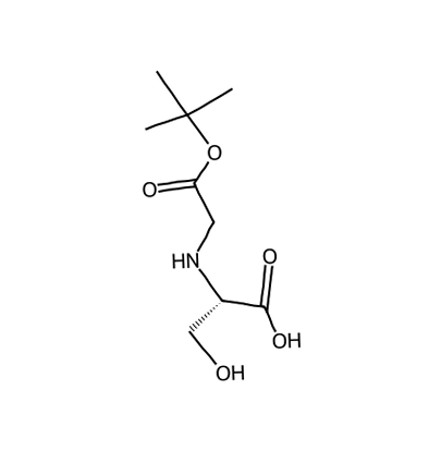 CC(C)(C)OC(=O)CN[C@@H](CO)C(=O)O